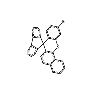 Brc1ccc2c(c1)Sc1c(ccc3ccccc13)C21c2ccccc2-c2ccccc21